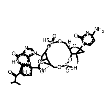 CC(C)C(=O)Nc1nc2c(ncn2[C@@H]2O[C@@H]3COP(=O)(S)OC4[C@@H](COP(=O)(S)OC2C3OC(=O)c2ccccc2)OC2(n3ccc(N)nc3=O)CC42F)c(=O)[nH]1